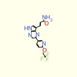 NC(=O)C=Cc1c[nH]c2ncc(-c3ccc(OCC(F)(F)F)nc3)nc12